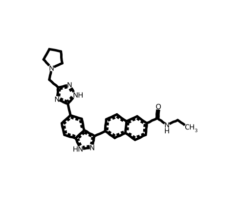 CCNC(=O)c1ccc2cc(-c3n[nH]c4ccc(-c5nc(CN6CCCC6)n[nH]5)cc34)ccc2c1